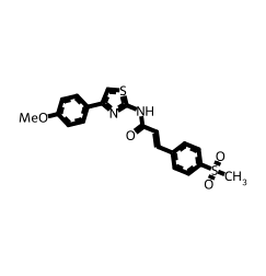 COc1ccc(-c2csc(NC(=O)C=Cc3ccc(S(C)(=O)=O)cc3)n2)cc1